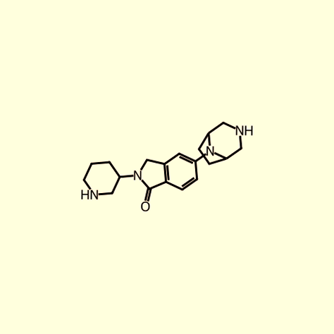 O=C1c2ccc(N3C4CCC3CNC4)cc2CN1C1CCCNC1